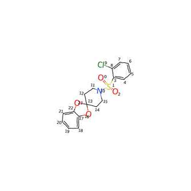 O=S(=O)(c1ccccc1Cl)N1CCC2(CC1)Oc1ccccc1O2